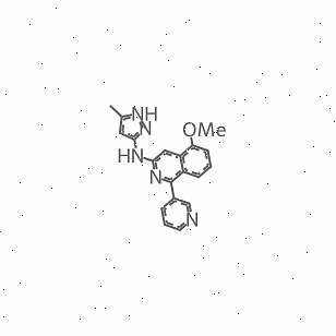 COc1cccc2c(-c3cccnc3)nc(Nc3cc(C)[nH]n3)cc12